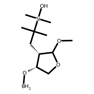 BO[C@H]1COC(OC)[C@H]1CC(C)(C)[Si](C)(C)O